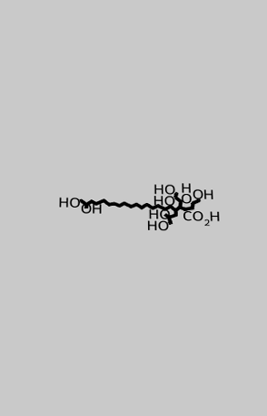 O=C(O)C(CC(O)CO)C(CC(O)CO)C(CCCCCCCCCCCCCCCC(O)CO)CC(O)CO